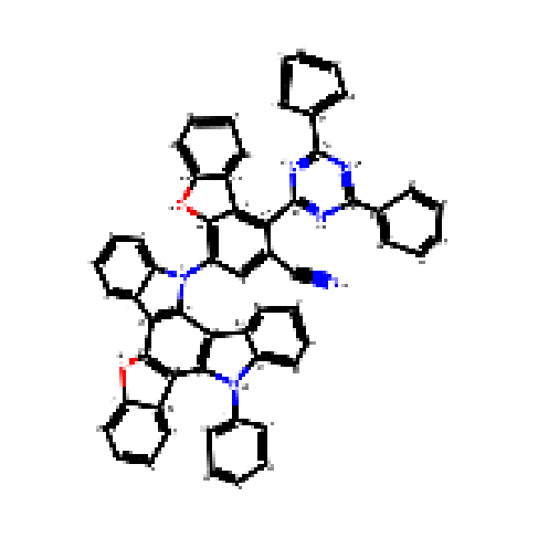 N#Cc1cc(-n2c3ccccc3c3c4oc5ccccc5c4c4c(c5ccccc5n4-c4ccccc4)c32)c2oc3ccccc3c2c1-c1nc(-c2ccccc2)nc(-c2ccccc2)n1